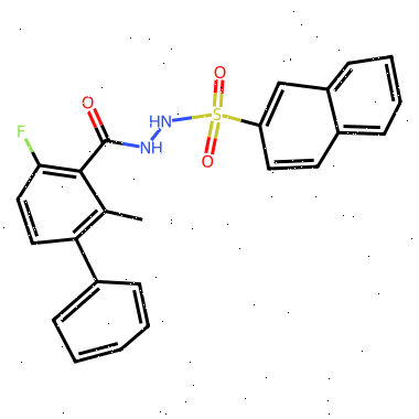 Cc1c(-c2ccccc2)ccc(F)c1C(=O)NNS(=O)(=O)c1ccc2ccccc2c1